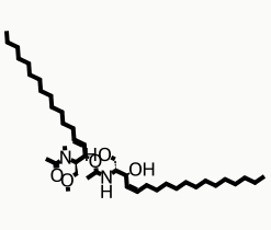 CCCCCCCCCCCCC/C=C\[C@@H](O)[C@@H](CO)NC(C)O[C@H](/C=C/CCCCCCCCCCCCC)[C@@H](COC)N(C)C(C)=O